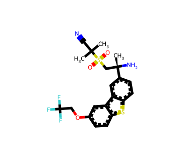 CC(C)(C#N)S(=O)(=O)C[C@](C)(N)c1ccc2sc3ccc(OCC(F)(F)F)cc3c2c1